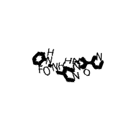 O=C(NCc1ccnc(-n2[nH]cc(-c3cccnc3)c2=O)c1)Nc1ccccc1F